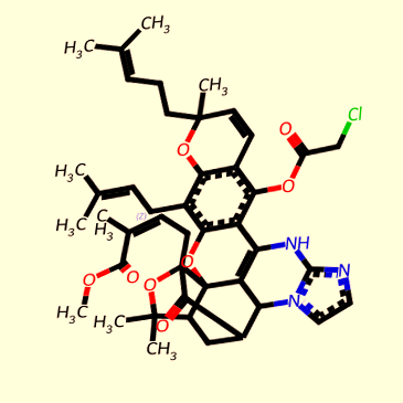 COC(=O)/C(C)=C\CC12OC(C)(C)C3CC(C1=O)C1C4=C(Nc5nccn51)c1c(OC(=O)CCl)c5c(c(CC=C(C)C)c1OC432)OC(C)(CCC=C(C)C)C=C5